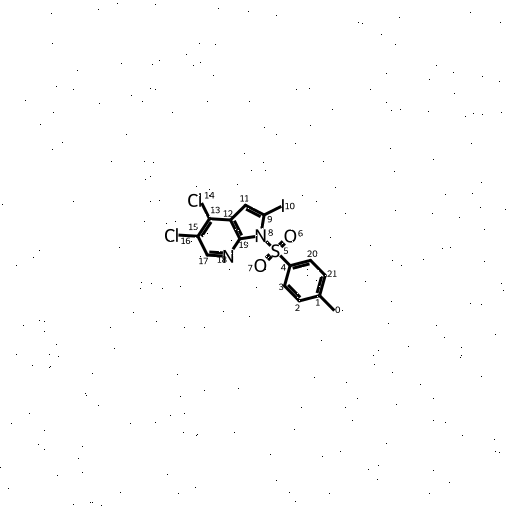 Cc1ccc(S(=O)(=O)n2c(I)cc3c(Cl)c(Cl)cnc32)cc1